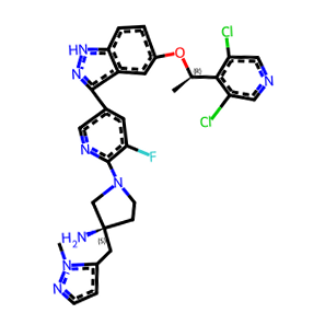 C[C@@H](Oc1ccc2[nH]nc(-c3cnc(N4CC[C@](N)(Cc5ccnn5C)C4)c(F)c3)c2c1)c1c(Cl)cncc1Cl